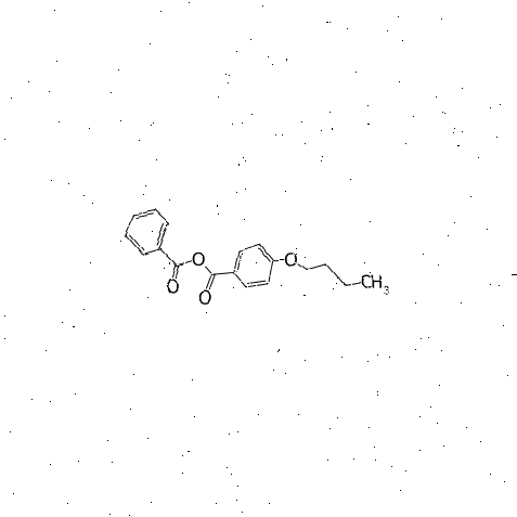 CCCCOc1ccc(C(=O)OC(=O)c2ccccc2)cc1